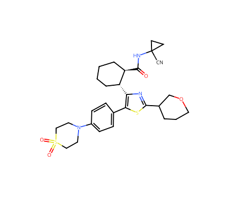 N#CC1(NC(=O)[C@@H]2CCCC[C@H]2c2nc(C3CCCOC3)sc2-c2ccc(N3CCS(=O)(=O)CC3)cc2)CC1